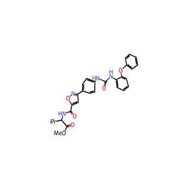 COC(=O)C(NC(=O)c1cc(-c2ccc(NC(=O)Nc3ccccc3Oc3ccccc3)cc2)no1)C(C)C